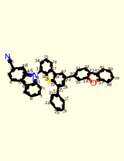 N#Cc1ccc2c3ccccc3n(-c3cccc4c3sc3c(-c5ccccc5)cc(-c5ccc6c(c5)oc5ccccc56)cc34)c2c1